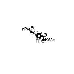 CCCN(CC)CCOc1ccc(C(=O)N(C)OC)cc1